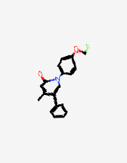 Cc1cc(=O)n(-c2ccc(OCF)cc2)cc1-c1ccccc1